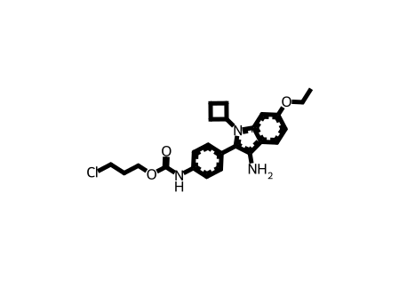 CCOc1ccc2c(N)c(-c3ccc(NC(=O)OCCCCl)cc3)n(C3CCC3)c2c1